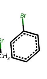 Brc1ccccc1.CBr